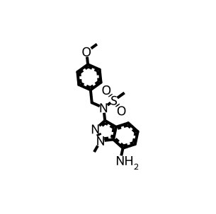 COc1ccc(CN(c2nn(C)c3c(N)cccc23)S(C)(=O)=O)cc1